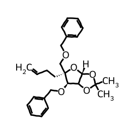 C=CCC[C@]1(COCc2ccccc2)O[C@@H]2OC(C)(C)OC2[C@H]1OCc1ccccc1